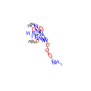 CCCCOc1nc(N)c2c(n1)n(Cc1cn(CCOCCOCCOCCN)nn1)c(=O)n2C(=O)N(C)CCC